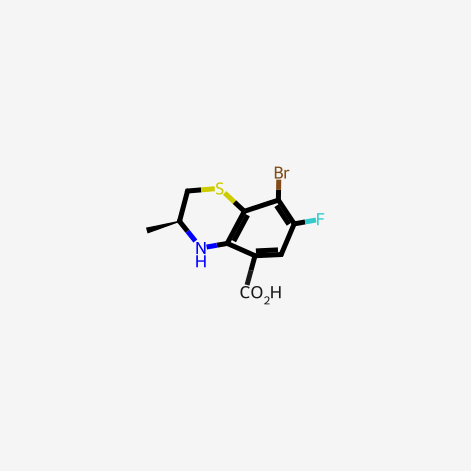 C[C@H]1CSc2c(Br)c(F)cc(C(=O)O)c2N1